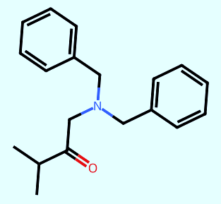 CC(C)C(=O)CN(Cc1ccccc1)Cc1ccccc1